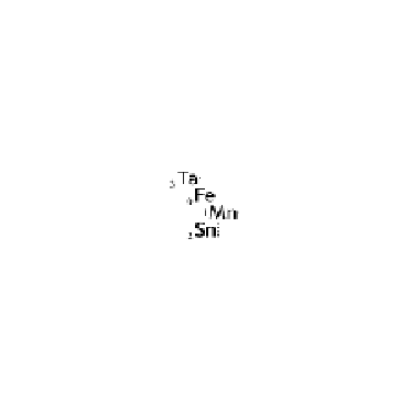 [Fe].[Mn].[Sn].[Ta]